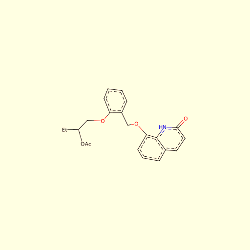 CCC(COc1ccccc1COc1cccc2ccc(=O)[nH]c12)OC(C)=O